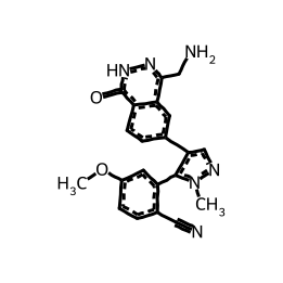 COc1ccc(C#N)c(-c2c(-c3ccc4c(=O)[nH]nc(CN)c4c3)cnn2C)c1